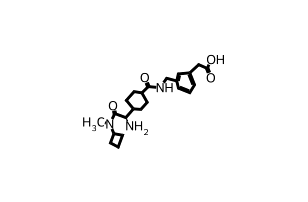 CN(C(=O)[C@@H](N)C1CCC(C(=O)NCc2cccc(CC(=O)O)c2)CC1)C1CCC1